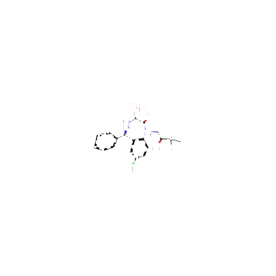 CC(C)(C)C(=O)CN1C(=O)C(O)N=C(c2ccccc2)c2cc(Cl)ccc21